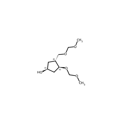 COCOC[C@H]1C[C@H](O)C[C@@H]1OCOC